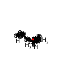 COc1cc(C(=O)NC2CCN(C(=O)CCCNc3cccc4c3C(=O)N(C3CCC(=O)NC3=O)C4=O)CC2)c(F)cc1Nc1ncc2c(n1)N(C1CCCC1)CC(F)(F)C(=O)N2C